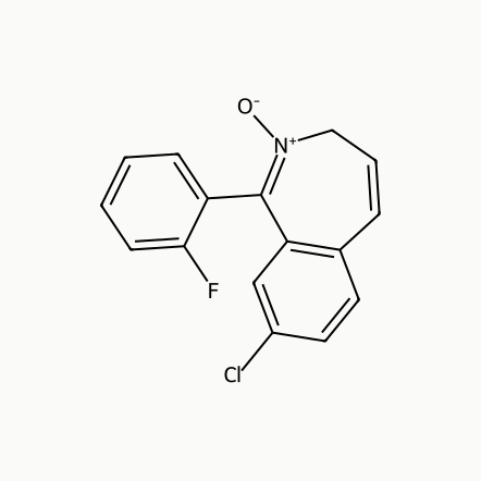 [O-][N+]1=C(c2ccccc2F)c2cc(Cl)ccc2C=CC1